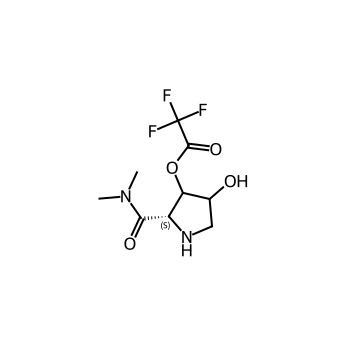 CN(C)C(=O)[C@H]1NCC(O)C1OC(=O)C(F)(F)F